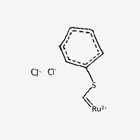 [Cl-].[Cl-].[Ru+2]=[CH]Sc1ccccc1